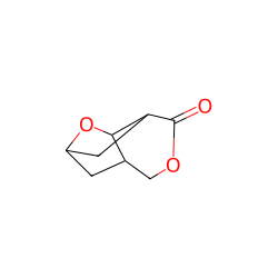 O=C1OCC2CC3CC1C2O3